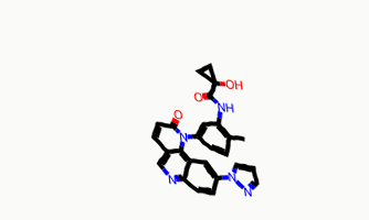 Cc1ccc(-n2c(=O)ccc3cnc4ccc(-n5cccn5)cc4c32)cc1NC(=O)C1(O)CC1